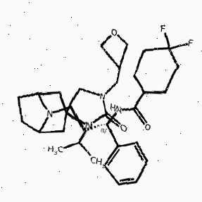 CC(C)N1C(=O)N(CC2COC2)CC12CC1CCC(C2)N1CC[C@H](NC(=O)C1CCC(F)(F)CC1)c1ccccc1